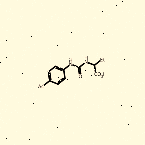 CCC(NC(=O)Nc1ccc(C(C)=O)cc1)C(=O)O